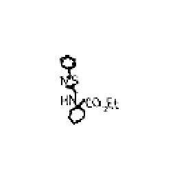 CCOC(=O)CC1(NCc2cnc(-c3ccccc3)s2)CCCCC1